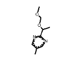 COCOC(C)c1ncc(C)cn1